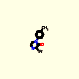 Cc1ccc(-n2ccnc(C(C)C)c2=O)cc1